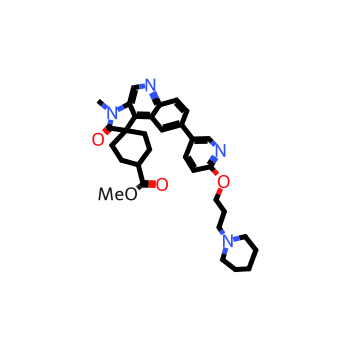 COC(=O)C1CCC2(CC1)C(=O)N(C)c1cnc3ccc(-c4ccc(OCCCN5CCCCC5)nc4)cc3c12